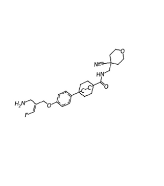 N#CC1(CNC(=O)C23CCC(c4ccc(OCC(=CF)CN)cc4)(CC2)CC3)CCOCC1